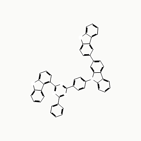 c1ccc(-c2nc(-c3ccc(-n4c5ccccc5c5ccc(-c6ccc7oc8ccccc8c7c6)cc54)cc3)nc(-c3cccc4oc5ccccc5c34)n2)cc1